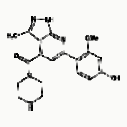 COc1cc(O)ccc1-c1cc(C(=O)N2CCNCC2)c2c(C)n[nH]c2n1